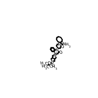 CC(C)(C)OC(=O)N1CC2CN(N3CC(=O)N(C4CCN(C5(C(N)=O)CCCCCCC5)CC4)c4ccccc43)CC2C1